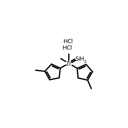 CC1=CC[C]([Zr]([CH3])([CH3])(=[SiH2])[C]2=CC=C(C)C2)=C1.Cl.Cl